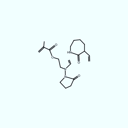 C=CC1CCCCNC1=O.C=CN(CCOC(=O)C(=C)C)N1CCCC1=O